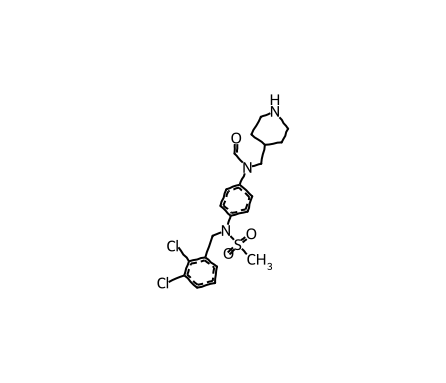 CS(=O)(=O)N(Cc1cccc(Cl)c1Cl)c1ccc(N(C=O)CC2CCNCC2)cc1